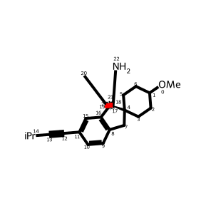 COC1CCC2(CC1)Cc1ccc(C#CC(C)C)cc1[C@]21N=C(C)C(N)=N1